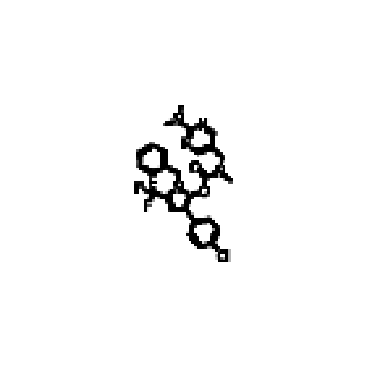 CN(Cc1cnc(N(C)C)nc1)C(=O)Oc1c(-c2ccc(Cl)cc2)cc(C(F)(F)F)n1Cc1ccccc1